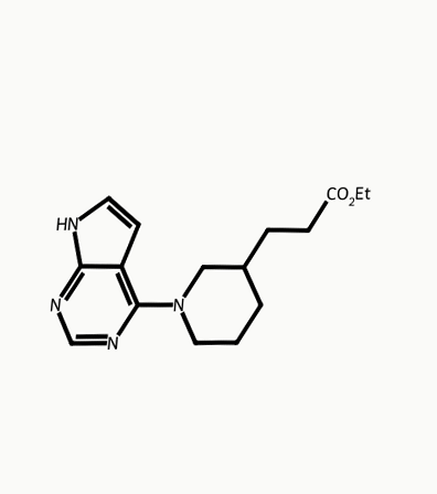 CCOC(=O)CCC1CCCN(c2ncnc3[nH]ccc23)C1